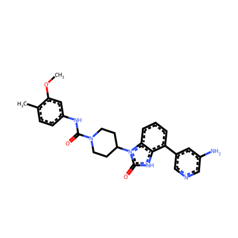 COc1cc(NC(=O)N2CCC(n3c(=O)[nH]c4c(-c5cncc(N)c5)cccc43)CC2)ccc1C